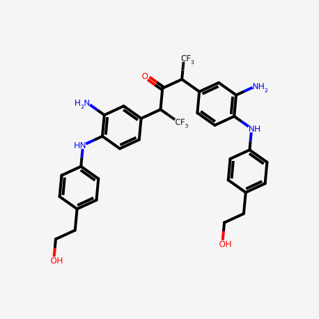 Nc1cc(C(C(=O)C(c2ccc(Nc3ccc(CCO)cc3)c(N)c2)C(F)(F)F)C(F)(F)F)ccc1Nc1ccc(CCO)cc1